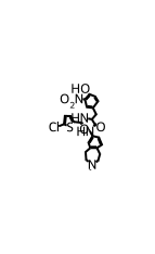 CN1CCc2ccc(NC(=O)C(Cc3ccc(O)c([N+](=O)[O-])c3)NC(=O)c3ccc(Cl)s3)cc2CC1